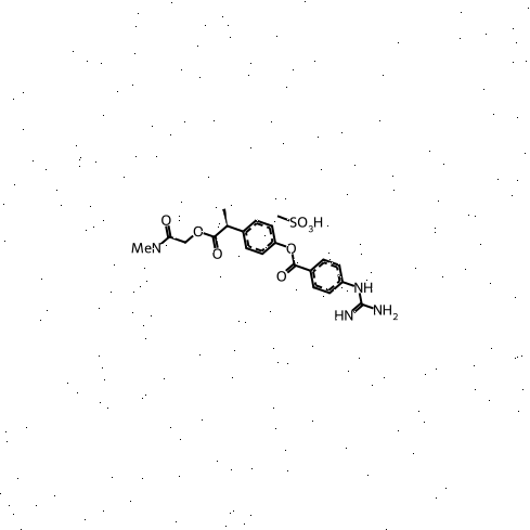 CNC(=O)COC(=O)[C@@H](C)c1ccc(OC(=O)c2ccc(NC(=N)N)cc2)cc1.CS(=O)(=O)O